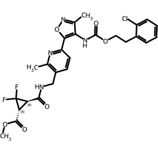 COC(=O)[C@H]1[C@H](C(=O)NCc2ccc(-c3onc(C)c3NC(=O)OCCc3ccccc3Cl)nc2C)C1(F)F